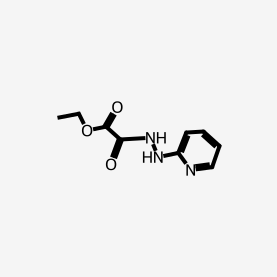 CCOC(=O)C(=O)NNc1ccccn1